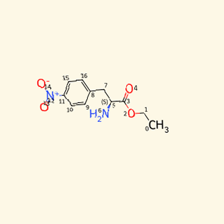 CCOC(=O)[C@@H](N)Cc1ccc([N+](=O)[O-])cc1